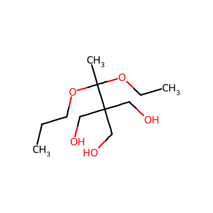 CCCOC(C)(OCC)C(CO)(CO)CO